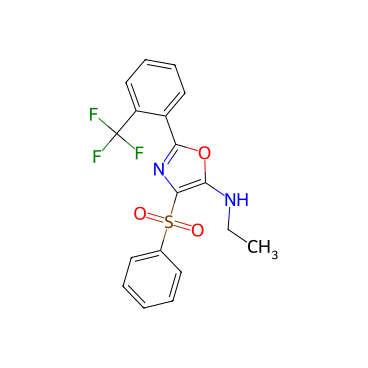 CCNc1oc(-c2ccccc2C(F)(F)F)nc1S(=O)(=O)c1ccccc1